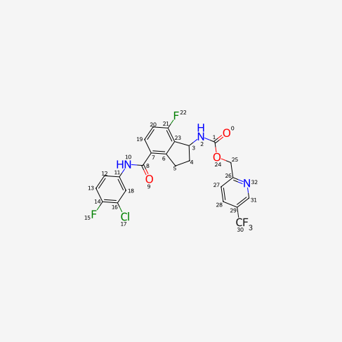 O=C(NC1CCc2c(C(=O)Nc3ccc(F)c(Cl)c3)ccc(F)c21)OCc1ccc(C(F)(F)F)cn1